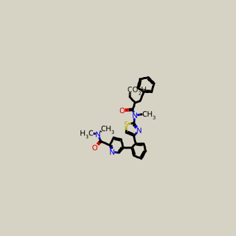 CN(C)C(=O)c1ccc(-c2ccccc2-c2csc(N(C)C(=O)C(CC(=O)O)Cc3ccccc3)n2)cn1